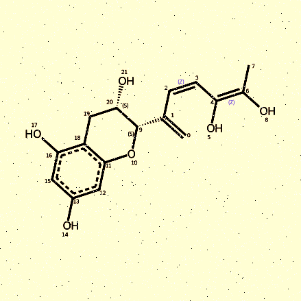 C=C(/C=C\C(O)=C(/C)O)[C@@H]1Oc2cc(O)cc(O)c2C[C@@H]1O